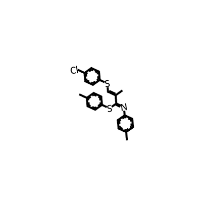 CC(=C\Sc1ccc(Cl)cc1)/C(=N/c1ccc(C)cc1)Sc1ccc(C)cc1